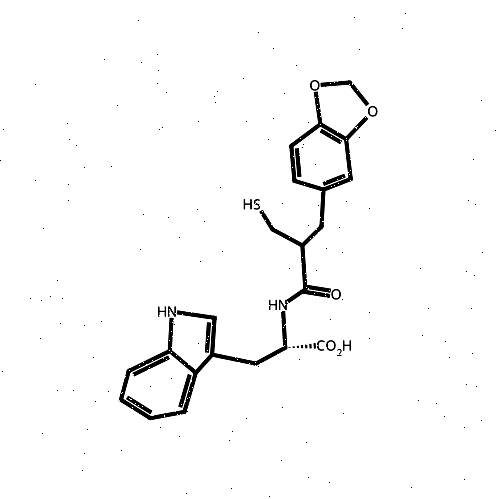 O=C(N[C@@H](Cc1c[nH]c2ccccc12)C(=O)O)C(CS)Cc1ccc2c(c1)OCO2